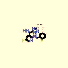 N=C(c1nc(C(F)(F)F)n[nH]1)c1cc(F)cnc1NCc1ccccc1F